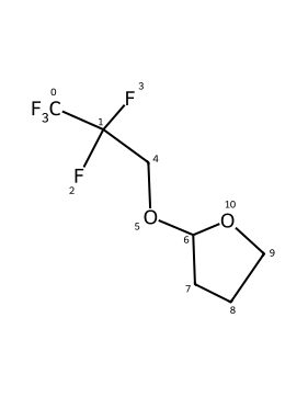 FC(F)(F)C(F)(F)COC1CCCO1